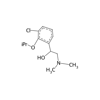 CC(C)Oc1c(Cl)cccc1C(O)CN(C)C